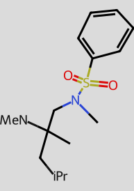 CNC(C)(CC(C)C)CN(C)S(=O)(=O)c1ccccc1